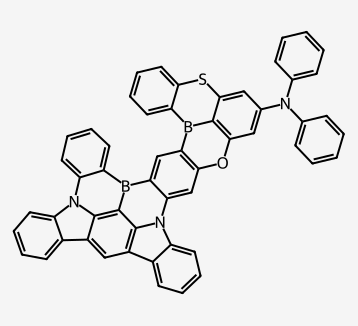 c1ccc(N(c2ccccc2)c2cc3c4c(c2)Sc2ccccc2B4c2cc4c(cc2O3)-n2c3ccccc3c3cc5c6ccccc6n6c5c(c32)B4c2ccccc2-6)cc1